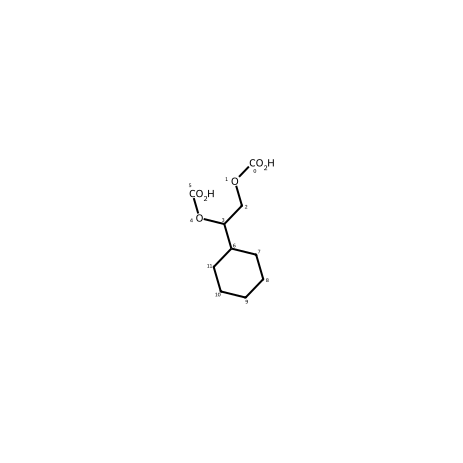 O=C(O)OCC(OC(=O)O)C1CCCCC1